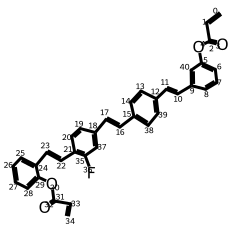 C=CC(=O)Oc1cccc(/C=C/c2ccc(/C=C/c3ccc(/C=C/c4ccccc4OC(=O)C=C)c(F)c3)cc2)c1